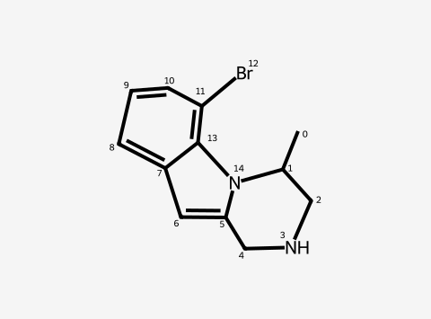 CC1CNCc2cc3cccc(Br)c3n21